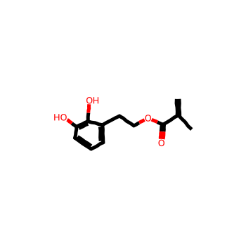 C=C(C)C(=O)OCCc1cccc(O)c1O